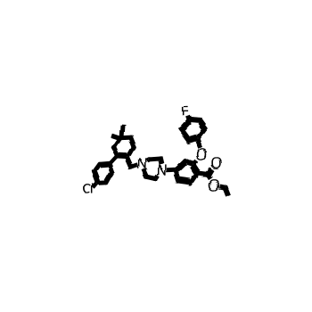 CCOC(=O)c1ccc(N2CCN(CC3=C(c4ccc(Cl)cc4)CC(C)(C)CC3)CC2)cc1Oc1ccc(F)cc1